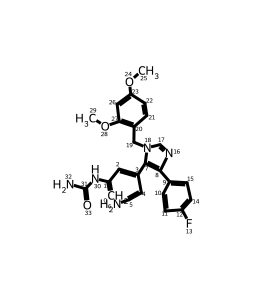 C=C(/C=C(\C=C/N)c1c(-c2ccc(F)cc2)ncn1Cc1ccc(OC)cc1OC)NC(N)=O